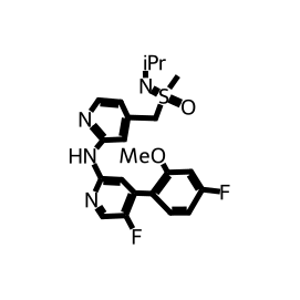 COc1cc(F)ccc1-c1cc(Nc2cc(CS(C)(=O)=NC(C)C)ccn2)ncc1F